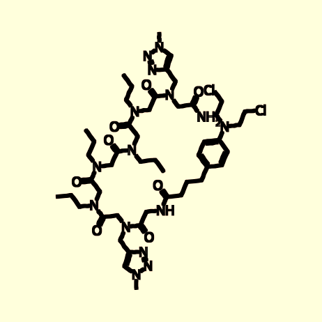 CCCN(CC(=O)N(CCC)CC(=O)N(CC(N)=O)Cc1cn(C)nn1)C(=O)CN(CCC)C(=O)CN(CCC)C(=O)CN(Cc1cn(C)nn1)C(=O)CNC(=O)CCCc1ccc(N(CCCl)CCCl)cc1